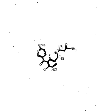 CC[C@@H](N[C@H](C)CC(N)=O)c1ccc(Cl)c(C(=O)c2ccc(NC)nc2)c1F.Cl